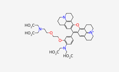 O=C(O)CN(CCOCCOc1cc(C2=c3cc4c5c(c3Oc3c2cc2c6c3CCCN6CCC2)CCC[N+]=5CCC4)ccc1N(CC(=O)O)CC(=O)O)CC(=O)O